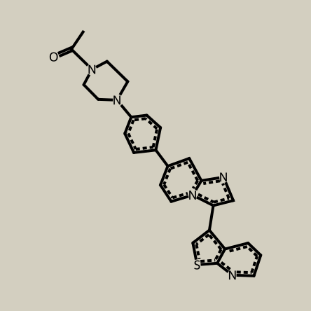 CC(=O)N1CCN(c2ccc(-c3ccn4c(-c5csc6ncccc56)cnc4c3)cc2)CC1